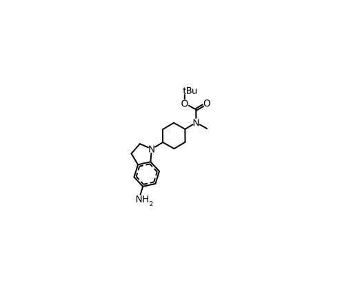 CN(C(=O)OC(C)(C)C)C1CCC(N2CCc3cc(N)ccc32)CC1